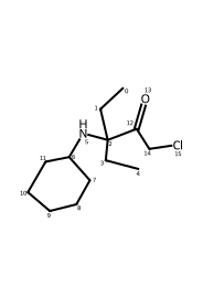 CCC(CC)(NC1CCCCC1)C(=O)CCl